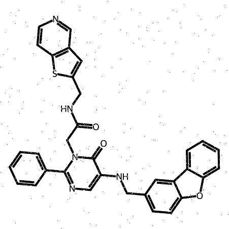 O=C(Cn1c(-c2ccccc2)ncc(NCc2ccc3oc4ccccc4c3c2)c1=O)NCc1cc2cnccc2s1